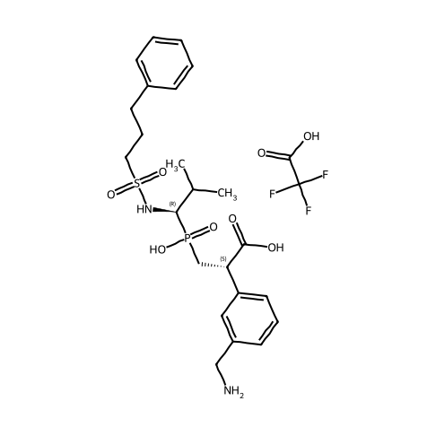 CC(C)[C@H](NS(=O)(=O)CCCc1ccccc1)P(=O)(O)C[C@H](C(=O)O)c1cccc(CN)c1.O=C(O)C(F)(F)F